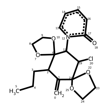 C=C1C(CCC)C2(OCCO2)C(n2ccccc2=O)C(Cl)C12OCCO2